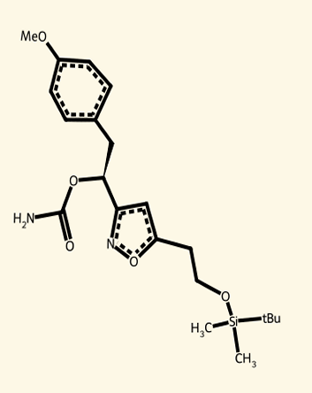 COc1ccc(C[C@H](OC(N)=O)c2cc(CCO[Si](C)(C)C(C)(C)C)on2)cc1